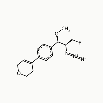 CO[C@H](c1ccc(C2=CCOCC2)cc1)[C@@H](CF)N=[N+]=[N-]